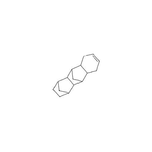 C1=CCC2C(C1)C1CC2C2C3CCC(C3)C12